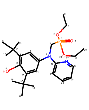 CCOP(=O)(CN(c1cc(C(C)(C)C)c(O)c(C(C)(C)C)c1)c1ccccn1)OCC